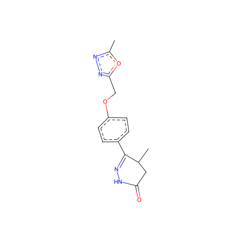 Cc1nnc(COc2ccc(C3=NNC(=O)CC3C)cc2)o1